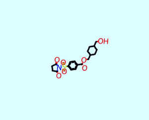 O=C(OCC1CCC(CO)CC1)c1ccc(S(=O)(=O)N2C(=O)CCC2=O)cc1